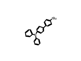 CC(C)(C)c1ccc(-c2ccc(N(c3ccccc3)c3ccccc3)cc2)cc1